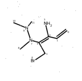 C=C/C(N)=C(\CBr)N(C)N(C)C